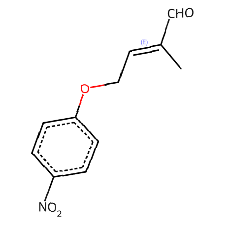 C/C(C=O)=C\COc1ccc([N+](=O)[O-])cc1